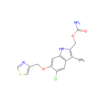 Cc1c(COC(N)=O)[nH]c2cc(OCc3cscn3)c(Cl)cc12